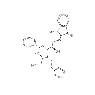 O=C1c2ccccc2C(=O)N1OC[C@@H](O)[C@@H](OCc1ccccc1)[C@H](OCc1ccccc1)[C@H](O)CO